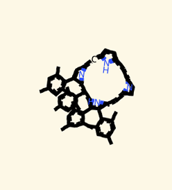 Cc1cc(C)c(C2=Cc3cc4ccc(cc5nc(cc6[nH]c(c(-c7c(C)cc(C)cc7C)c2n3)c(-c2c(C)cc(C)cc2C)c6-c2c(C)cc(C)cc2C)C=C5)[nH]4)c(C)c1